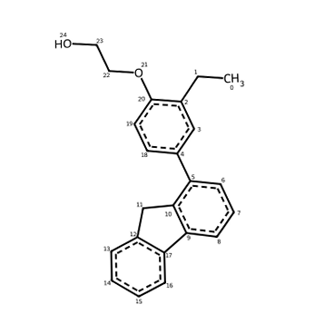 CCc1cc(-c2cccc3c2Cc2ccccc2-3)ccc1OCCO